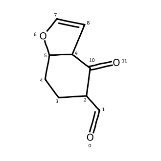 O=CC1CCC2OC=CC2C1=O